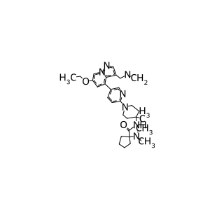 C=NCc1cnn2cc(OCC)cc(-c3ccc(N4CCC(C)(NC(=O)C5(N(C)C)CCCC5)CC4)nc3)c12